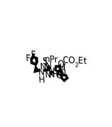 CCCSc1nc(N[C@@H]2C[C@H]2c2ccc(F)c(F)c2)c2nnn([C@@H]3C[C@H](OCC(=O)OCC)[C@H]4OC5(CCCC5)O[C@H]43)c2n1